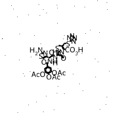 CC(=O)Oc1cc(C(=O)NC(C(=O)N[C@@H]2C(=O)N3C(C(=O)O)=C(CSc4nnnn4C)CS[C@@H]23)c2csc(N)n2)cc(OC(C)=O)c1OC(C)=O